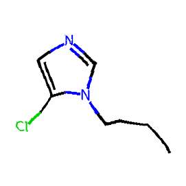 CCCn1cncc1Cl